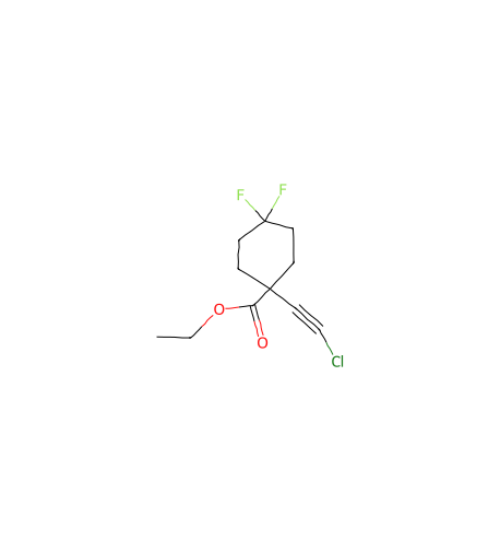 CCOC(=O)C1(C#CCl)CCC(F)(F)CC1